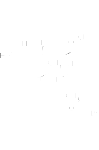 COC[C@@H]1C[C@H]2C[C@](C)(O)CC[C@]2(C)[C@H]2CC[C@]3(C)[C@@H](C(=O)CBr)CC[C@H]3[C@H]12